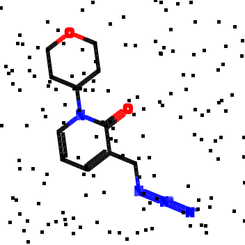 [N-]=[N+]=NCc1cccn(C2CCOCC2)c1=O